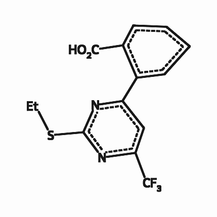 CCSc1nc(-c2ccccc2C(=O)O)cc(C(F)(F)F)n1